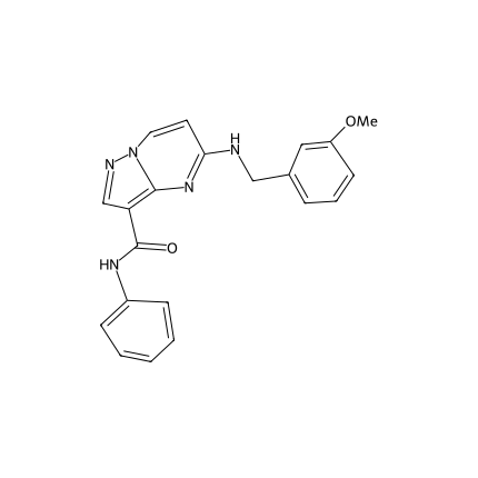 COc1cccc(CNc2ccn3ncc(C(=O)Nc4ccccc4)c3n2)c1